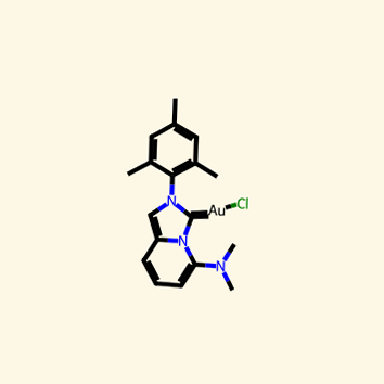 Cc1cc(C)c(-n2cc3cccc(N(C)C)n3[c]2=[Au][Cl])c(C)c1